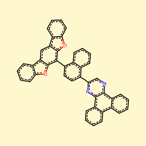 c1ccc2c(c1)oc1c(-c3ccc(-c4cnc5c6ccccc6c6ccccc6c5n4)c4ccccc34)c3oc4ccccc4c3cc12